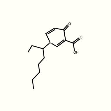 CCCCCC(CC)n1ccc(=O)c(C(=O)O)c1